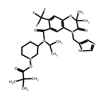 CC(C)N(C(=O)c1cc2c(cc1C(F)(F)F)OC(C)(C)C(=O)N2Cc1cnc[nH]1)C1CCCN(OC(=O)C(C)(C)C)C1